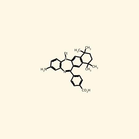 CCN1c2ccc(N)cc2N=C(c2ccc(C(=O)O)cc2)c2cc3c(cc21)C(C)(C)CCC3(C)C